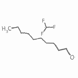 CCCCCCCCCC[O].F[C](F)F